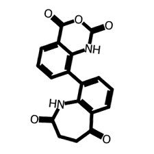 O=C1CCC(=O)c2cccc(-c3cccc4c(=O)oc(=O)[nH]c34)c2N1